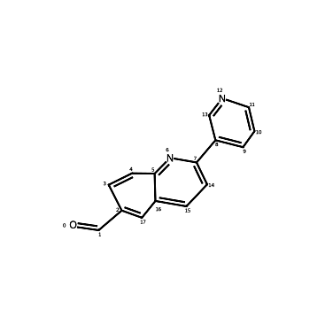 O=Cc1ccc2nc(-c3cccnc3)ccc2c1